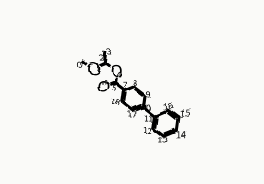 COC(C)OC(=O)c1ccc(-c2ccccc2)cc1